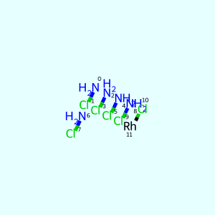 NCl.NCl.NCl.NCl.NCl.[Cl][Rh]